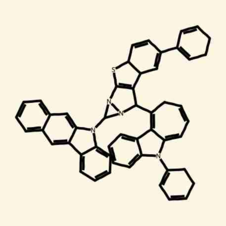 C1=CCCC(n2c3c(c4ccccc42)=C(C2C4=C(SC5C=CC(C6=CCCC=C6)=CC45)N4C(n5c6ccccc6c6cc7ccccc7cc65)N24)CC=CC=3)=C1